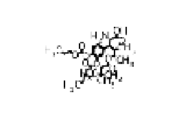 CCCOC(=O)Oc1ccc(C(C(C)C(C)OC(=O)CC(C)(C)C)[C@H](N)C(=O)O)cc1OC(=O)OCCC